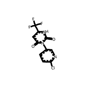 O=c1cc(C(F)(F)F)[nH]c(=O)n1-c1ccc(Cl)nc1